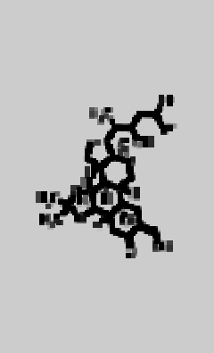 CC[C@H](CC(O)[C@@H](C)[C@H]1CC[C@H]2[C@@H]3[C@H]4OC(C)(C)O[C@@H]4[C@H]4CC(=O)C(=CO)C[C@]4(C)[C@H]3CC[C@]12C)C(C)C